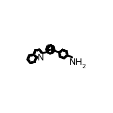 NCc1ccc([C]23[CH]4[CH]5[C]6(c7ccc8ccccc8n7)[CH]2[Fe]45362789[CH]3[CH]2[CH]7[CH]8[CH]39)cc1